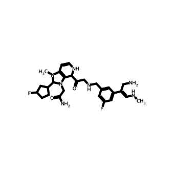 CN/C=C(\CN)c1cc(F)cc(CNCC(=O)C2NC=CC3=C2N(CC(N)=O)C(C2CCC(F)C2)N3C)c1